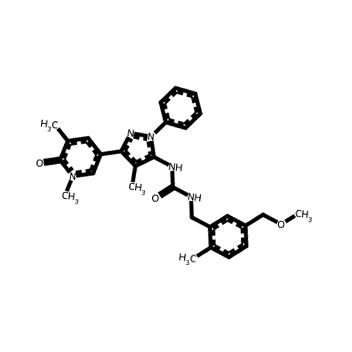 COCc1ccc(C)c(CNC(=O)Nc2c(C)c(-c3cc(C)c(=O)n(C)c3)nn2-c2ccccc2)c1